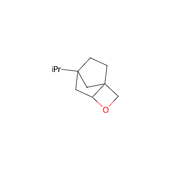 CC(C)C12CCC3(COC3C1)C2